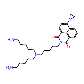 NCCCCCN(CCCCCN)CCCCCN1C(=O)c2cccc3c(N4CC4)ccc(c23)C1=O